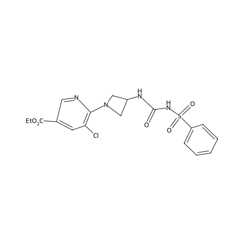 CCOC(=O)c1cnc(N2CC(NC(=O)NS(=O)(=O)c3ccccc3)C2)c(Cl)c1